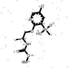 C[C@@H](COc1ncc(Cl)cc1[N+](C)([O-])O)NC(=O)OC(C)(C)C